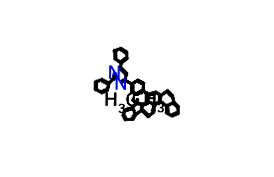 CC1(C)c2ccccc2-c2ccc3c(c(-c4ccc(-c5cc(-c6ccccc6)nc(-c6ccccc6)n5)cc4)cc4ccc5ccccc5c43)c21